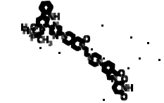 C[C@@H]1Cc2c([nH]c3ccccc23)[C@@H](c2cnc(N3CCC4(CCN(CCN5CCN(c6ccc7c(c6)CN(C6CCC(=O)NC6=O)C7=O)CC5)C(=O)C4)CC3)cn2)N1CC(C)(C)F